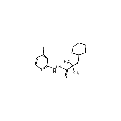 CC(C)(OC1CCCCO1)C(=O)NNc1cc(I)ccn1